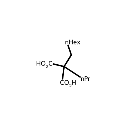 CCCCCCCC(CCC)(C(=O)O)C(=O)O